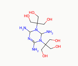 NC1=NC(N)N(C(CO)(CO)CO)C(N)N1C(CO)(CO)CO